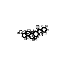 CO[C@H]1CC[C@H]2[C@@H]3CC[C@H]4CC(=O)C(C(=O)c5ccccc5)C[C@]4(C)[C@H]3CC[C@]12C